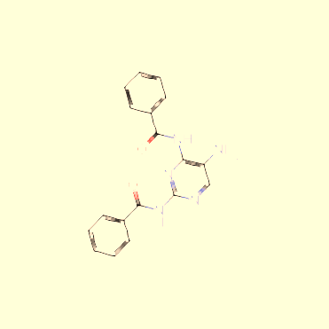 Nc1cnc(NC(=O)c2ccccc2)nc1NC(=O)c1ccccc1